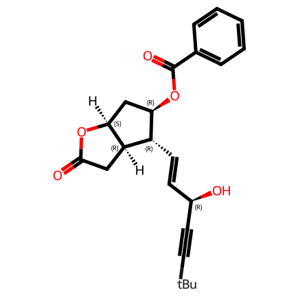 CC(C)(C)C#C[C@H](O)C=C[C@@H]1[C@H]2CC(=O)O[C@H]2C[C@H]1OC(=O)c1ccccc1